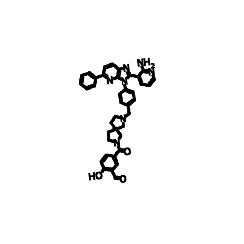 Nc1ncccc1-c1nc2ccc(-c3ccccc3)nc2n1-c1ccc(CN2CC[C@@]3(CCN(C(=O)c4ccc(O)c(C=O)c4)C3)C2)cc1